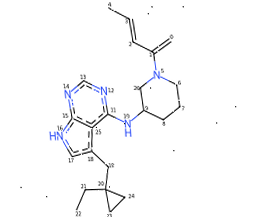 C=C(/C=C/C)N1CCCC(Nc2ncnc3[nH]cc(CC4(CC)CC4)c23)C1